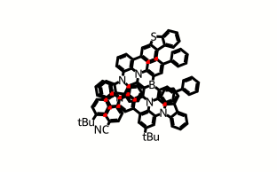 CC(C)(C)c1cc(-c2ccc3sc4ccc(C(C)(C)C)cc4c3c2)c(N2c3ccc(-c4ccccc4)cc3B3c4cc(-c5ccccc5)ccc4N(c4c(-c5ccc6c(c5)sc5ccccc56)cccc4-n4c5ccccc5c5ccccc54)c4cc(-n5c6ccccc6c6cc(C#N)ccc65)cc2c43)c(-n2c3ccccc3c3ccccc32)c1